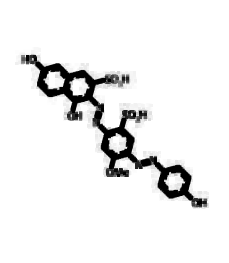 COc1cc(N=Nc2c(S(=O)(=O)O)cc3cc(O)ccc3c2O)c(S(=O)(=O)O)cc1N=Nc1ccc(O)cc1